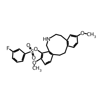 COc1ccc2c(c1)CCNCc1c(ccc(OC)c1OS(=O)(=O)c1cccc(F)c1)CC2